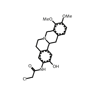 COc1ccc2c(c1OC)CN1CCc3cc(NC(=O)CCl)c(O)cc3C1C2